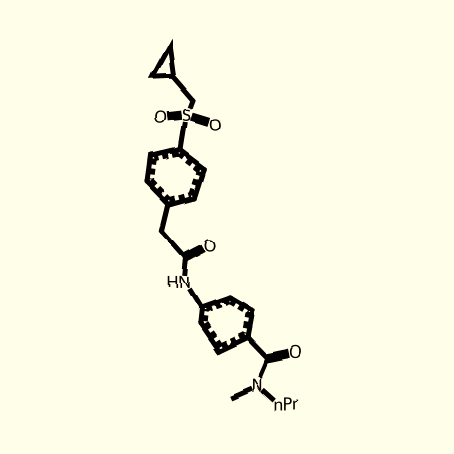 CCCN(C)C(=O)c1ccc(NC(=O)Cc2ccc(S(=O)(=O)CC3CC3)cc2)cc1